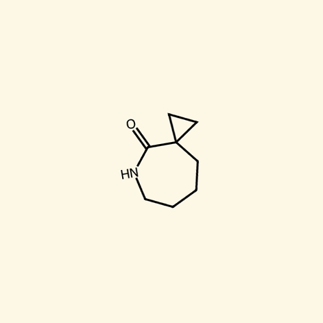 O=C1NCCCCC12CC2